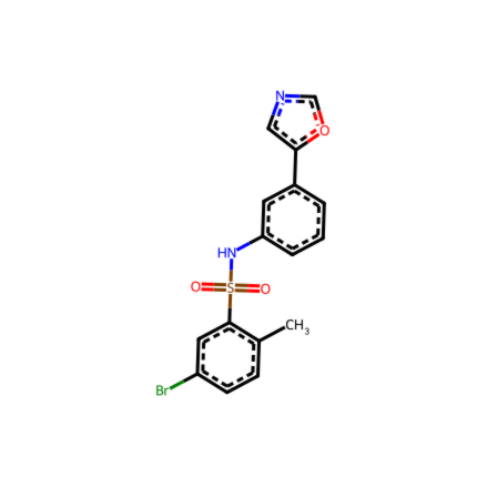 Cc1ccc(Br)cc1S(=O)(=O)Nc1cccc(-c2cnco2)c1